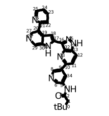 CC(C)(C)CC(=O)Nc1cncc(-c2ccc3[nH]nc(-c4cc5c(-c6ccccn6)cncc5[nH]4)c3n2)c1